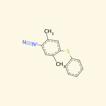 Cc1cc(Sc2ccccc2)c(C)cc1[N+]#N